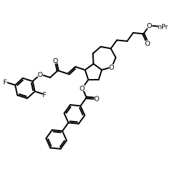 CCCOC(=O)CCCC1CCC2C(CC(OC(=O)c3ccc(-c4ccccc4)cc3)C2/C=C/C(=O)COc2cc(F)ccc2F)OC1